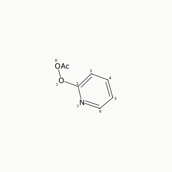 CC(=O)OOc1ccccn1